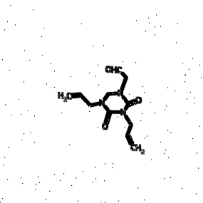 C=CCN1CN(CC=O)C(=O)N(CC=C)C1=O